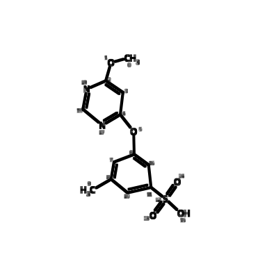 COc1cc(Oc2cc(C)cc(S(=O)(=O)O)c2)ncn1